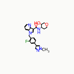 Cn1cc(-c2ccc(Cn3cc(C(=O)N[C@H]4CCOC[C@@H]4O)c4ncccc43)c(F)c2)cn1